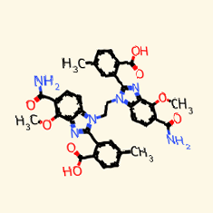 COc1c(C(N)=O)ccc2c1nc(-c1cc(C)ccc1C(=O)O)n2CCn1c(-c2cc(C)ccc2C(=O)O)nc2c(OC)c(C(N)=O)ccc21